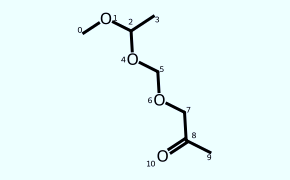 COC(C)OCOCC(C)=O